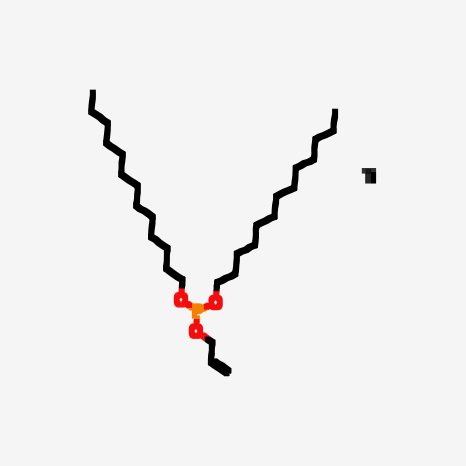 C=CCOP(OCCCCCCCCCCCCC)OCCCCCCCCCCCCC.[Ti]